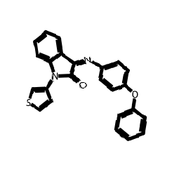 O=C1/C(=N\c2ccc(Oc3ccccc3)cc2)c2ccccc2N1c1ccsc1